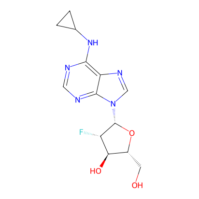 OC[C@H]1O[C@@H](n2cnc3c(NC4CC4)ncnc32)[C@@H](F)[C@@H]1O